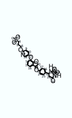 CS(=O)(=O)CCCOc1ccc(Oc2cccc3c2OC[C@H]3Oc2ccc(C3CC(=O)NS(=O)(=O)N3)cc2)cn1